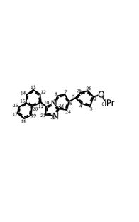 CC(C)Oc1ccc(-c2ccn3c(-c4cccc5ccccc45)cnc3c2)cc1